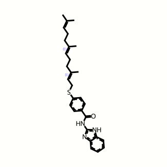 CC(C)=CCC/C(C)=C/CC/C(C)=C/CSc1ccc(C(=O)Nc2nc3ccccc3[nH]2)cc1